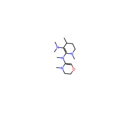 CC1CCN(C)C(N(C)C2=COCCN2C)=C1N(C)C